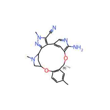 Cc1ccc2c(c1)[C@@H](C)Oc1cc(cnc1N)-c1c(nn(C)c1C#N)C1CC(CN1C)O2